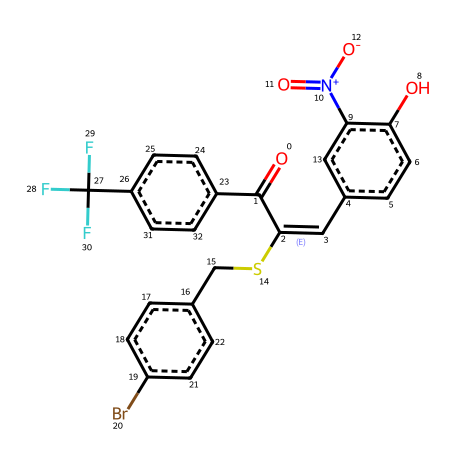 O=C(/C(=C\c1ccc(O)c([N+](=O)[O-])c1)SCc1ccc(Br)cc1)c1ccc(C(F)(F)F)cc1